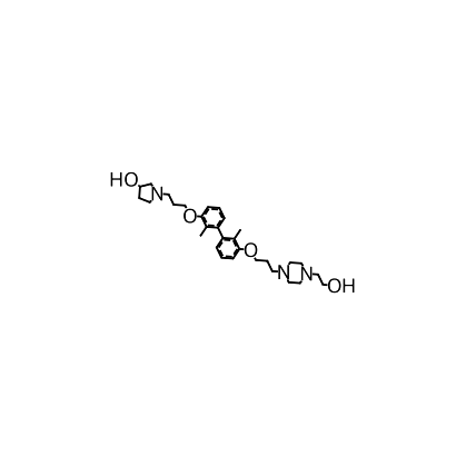 Cc1c(OCCCN2CCN(CCO)CC2)cccc1-c1cccc(OCCCN2CC[C@@H](O)C2)c1C